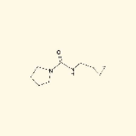 O=C(NCC1CC1)N1CCCC1